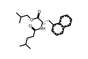 CC(C)CCC(=O)N[C@@H](Cc1cccc2ccccc12)C(=O)OCC(C)C